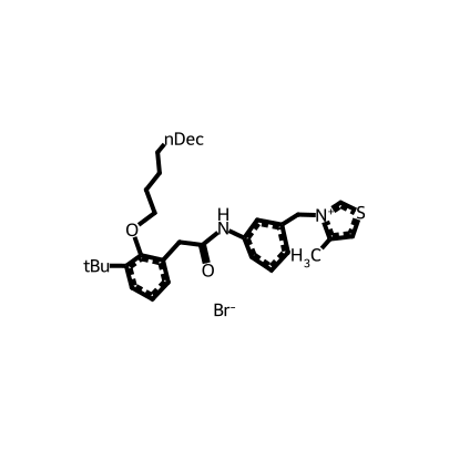 CCCCCCCCCCCCCCOc1c(CC(=O)Nc2cccc(C[n+]3cscc3C)c2)cccc1C(C)(C)C.[Br-]